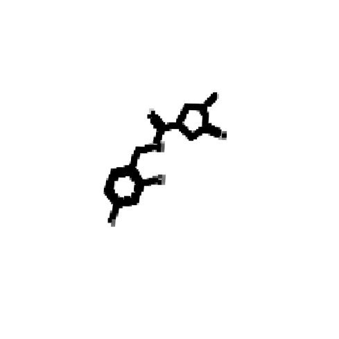 CN1CC(C(=O)NCc2ccc(Cl)cc2Cl)CC1=O